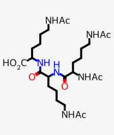 CC(=O)NCCCCC(NC(=O)C(CCCCNC(C)=O)NC(=O)C(CCCCNC(C)=O)NC(C)=O)C(=O)O